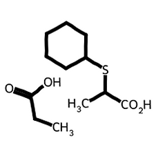 CC(SC1CCCCC1)C(=O)O.CCC(=O)O